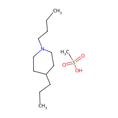 CCCCN1CCC(CCC)CC1.CS(=O)(=O)O